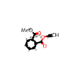 C#COC(=O)c1ccccc1C(=O)OC